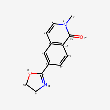 Cn1ccc2cc(C3=NCCO3)ccc2c1=O